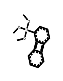 CO[Si](OC)(OC)c1cccc2c1=c1ccccc1=2